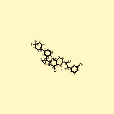 O=C([C@H](O)c1cccc(Cl)c1)N1CCc2nc(C3(c4cncc(C5=CCC(F)(F)CC5)c4)CC3)[nH]c(=O)c2C1